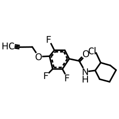 C#CCOc1c(F)cc(C(=O)NC2CCCCC2Cl)c(F)c1F